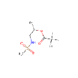 CCC(CNS(=O)(=O)C(F)(F)F)OC(=O)C(C)(C)CC